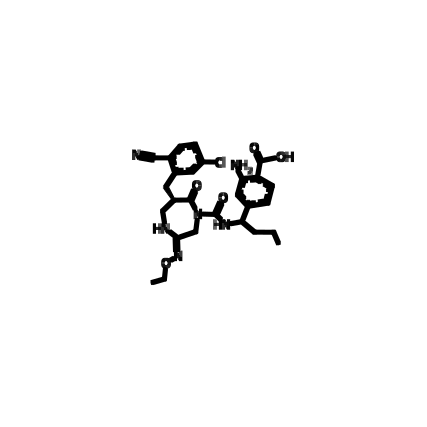 CCCC(NC(=O)N1C/C(=N/OCC)NC[C@@H](Cc2cc(Cl)ccc2C#N)C1=O)c1ccc(C(=O)O)c(N)c1